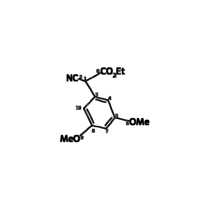 CCOC(=O)C(C#N)c1cc(OC)cc(OC)c1